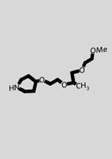 COCCOCC(C)OCCOC1CCNCC1